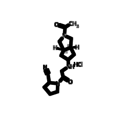 CC(=O)N1C[C@H]2CC(NCC(=O)N3CCCC3C#N)C[C@H]2C1.Cl